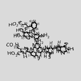 CN(Cc1cnc2nc(N)nc(N)c2n1)c1ccc(C(=O)N[C@@H](CCC(=O)O)C(=O)O)cc1.Nc1ccn([C@@H]2O[C@H](CO)[C@@H](O)C2(F)F)c(=O)n1.Nc1nc(=S)c2[nH]cnc2[nH]1.O=C(O)CCCc1ccccc1.S=c1[nH]cnc2nc[nH]c12